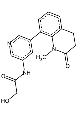 CN1C(=O)CCc2cccc(-c3cncc(NC(=O)CO)c3)c21